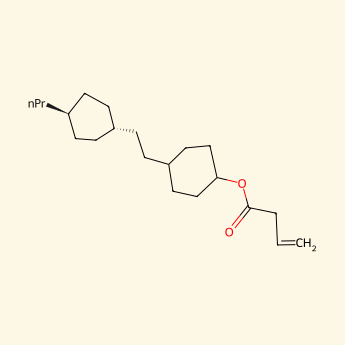 C=CCC(=O)OC1CCC(CC[C@H]2CC[C@H](CCC)CC2)CC1